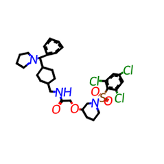 O=C(COC1CCCN(S(=O)(=O)c2c(Cl)cc(Cl)cc2Cl)C1)NCC1CCC(C(c2ccccc2)N2CCCC2)CC1